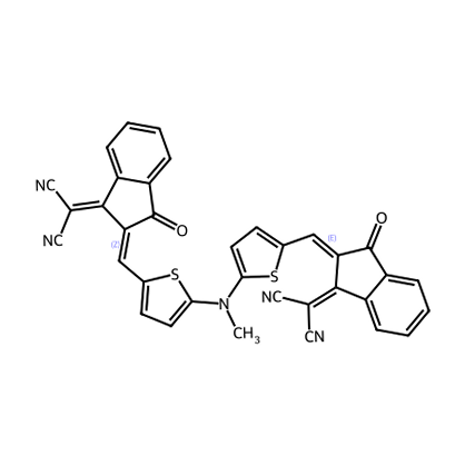 CN(c1ccc(/C=C2\C(=O)c3ccccc3C2=C(C#N)C#N)s1)c1ccc(/C=C2/C(=O)c3ccccc3C2=C(C#N)C#N)s1